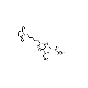 CC(=O)CNC(=O)[C@H](CCC(=O)OCC(C)C)NC(=O)CCCCCN1C(=O)C=CC1=O